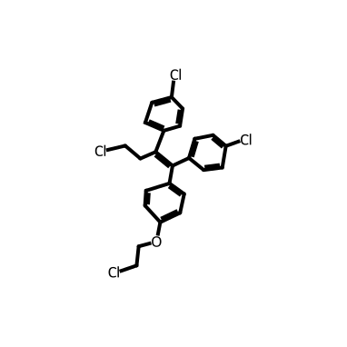 ClCCOc1ccc(/C(=C(\CCCl)c2ccc(Cl)cc2)c2ccc(Cl)cc2)cc1